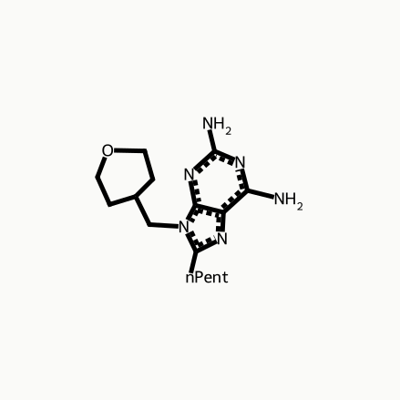 CCCCCc1nc2c(N)nc(N)nc2n1CC1CCOCC1